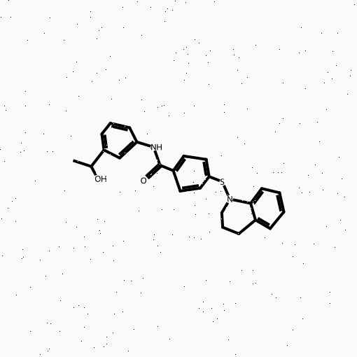 CC(O)c1cccc(NC(=O)c2ccc(SN3CCCc4ccccc43)cc2)c1